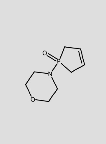 O=P1(N2CCOCC2)CC=CC1